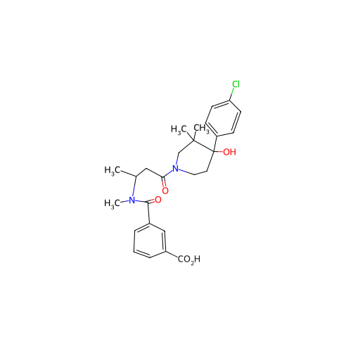 CC(CC(=O)N1CCC(O)(c2ccc(Cl)cc2)C(C)(C)C1)N(C)C(=O)c1cccc(C(=O)O)c1